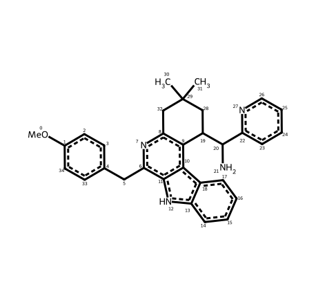 COc1ccc(Cc2nc3c(c4c2[nH]c2ccccc24)C(C(N)c2ccccn2)CC(C)(C)C3)cc1